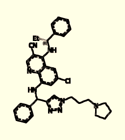 CC[C@@H](Nc1c(C#N)cnc2c(NC(c3ccccc3)c3cn(CCCN4CCCC4)nn3)cc(Cl)cc12)c1ccccc1